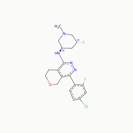 CN1C[C@H](F)C[C@@H](Nc2nnc(-c3ccc(Cl)cc3F)c3c2CCOC3)C1